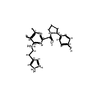 Cc1nc(C(=O)N2CCCC2c2ccc(F)cc2)nc(NCCc2cn[nH]c2)c1C